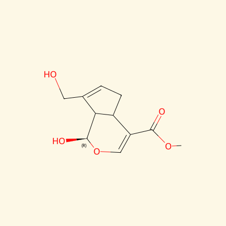 COC(=O)C1=CO[C@@H](O)C2C(CO)=CCC12